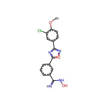 CC(C)Oc1ccc(-c2noc(-c3cccc(C(=N)NO)c3)n2)cc1Cl